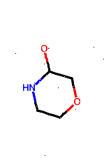 [O]C1COCCN1